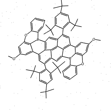 COc1cc2c3c(c1)-c1cc(-c4c(C(C)(C)C)cc(C(C)(C)C)cc4C(C)(C)C)c4cc5c6c(cc(-c7c(C(C)(C)C)cc(C(C)(C)C)cc7C(C)(C)C)c7cc(c1c4c76)B3c1ccccc1O2)-c1cc(OC)cc2c1B5c1ccccc1O2